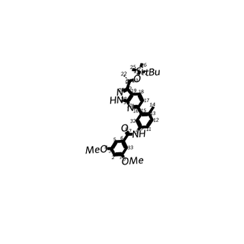 COc1cc(OC)cc(C(=O)Nc2ccc(C)c(-c3ccc4c([C@H](C)O[Si](C)(C)C(C)(C)C)n[nH]c4n3)c2)c1